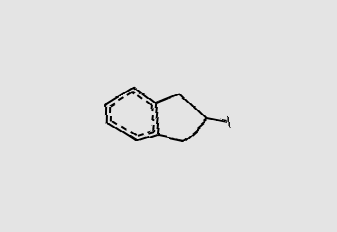 IC1Cc2ccccc2C1